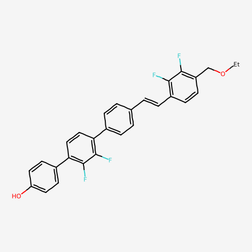 CCOCc1ccc(/C=C/c2ccc(-c3ccc(-c4ccc(O)cc4)c(F)c3F)cc2)c(F)c1F